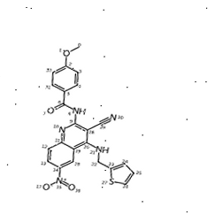 COc1ccc(C(=O)Nc2nc3ccc([N+](=O)[O-])cc3c(NCc3cccs3)c2C#N)cc1